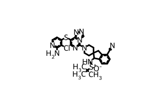 CC(C)(C)[S@@+]([O-])NC1c2cccc(C#N)c2CC12CCN(c1ncc(Sc3ccnc(N)c3Cl)c3nncn13)CC2